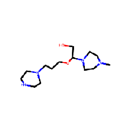 CN1CCN(C(CO)OCCCN2CCNCC2)CC1